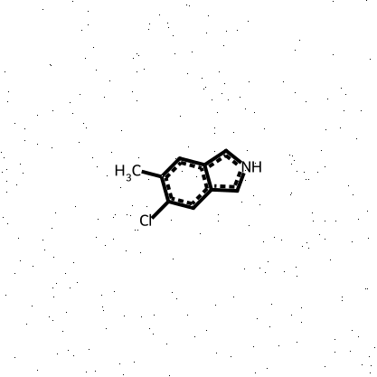 Cc1cc2c[nH]cc2cc1Cl